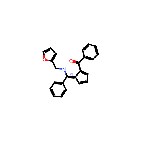 O=C(C1=CC=C/C1=C(/NCc1ccco1)c1ccccc1)c1ccccc1